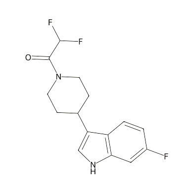 O=C(C(F)F)N1CCC(c2c[nH]c3cc(F)ccc23)CC1